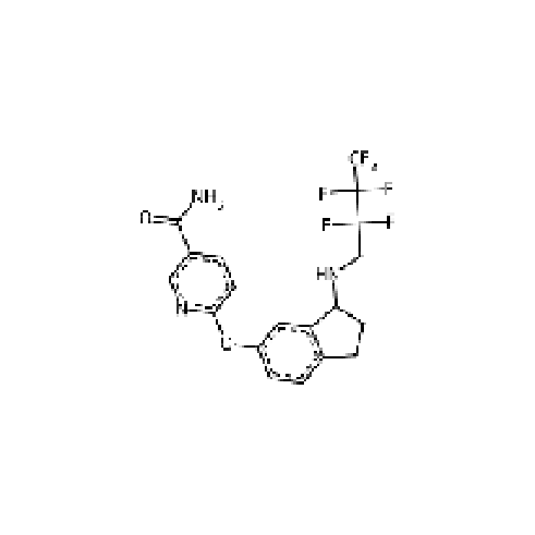 NC(=O)c1ccc(Oc2ccc3c(c2)C(NCC(F)(F)C(F)(F)C(F)(F)F)CC3)nc1